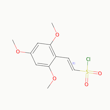 COc1cc(OC)c(/C=C/S(=O)(=O)Cl)c(OC)c1